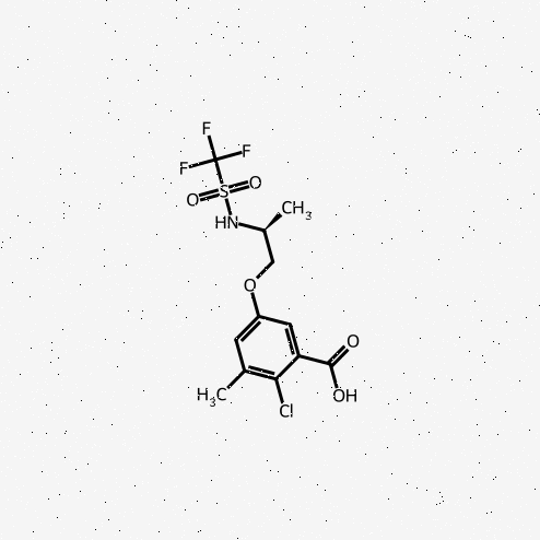 Cc1cc(OC[C@H](C)NS(=O)(=O)C(F)(F)F)cc(C(=O)O)c1Cl